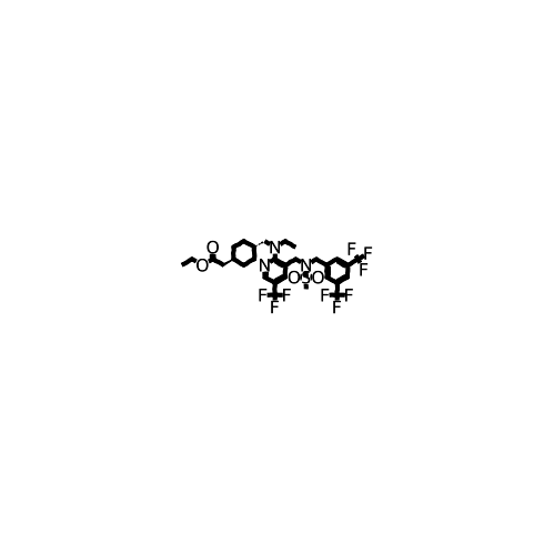 CCOC(=O)C[C@H]1CC[C@H](CN(CC)c2ncc(C(F)(F)F)cc2CN(Cc2cc(C(F)(F)F)cc(C(F)(F)F)c2)S(C)(=O)=O)CC1